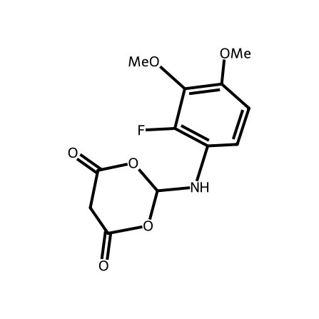 COc1ccc(NC2OC(=O)CC(=O)O2)c(F)c1OC